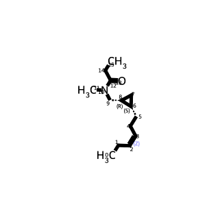 CC/C=C\CC[C@H]1C[C@H]1CN(C)C(=O)CC